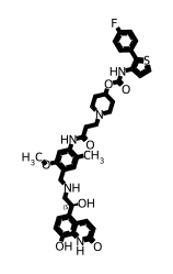 COc1cc(NC(=O)CCN2CCC(OC(=O)Nc3ccsc3-c3ccc(F)cc3)CC2)c(C)cc1CNC[C@@H](O)c1ccc(O)c2[nH]c(=O)ccc12